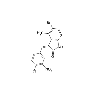 Cc1c(Br)ccc2c1C(=Cc1ccc(Cl)c([N+](=O)[O-])c1)C(=O)N2